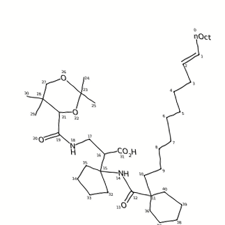 CCCCCCCC/C=C/CCCCCCCCC1(C(=O)NC2(C(CNC(=O)C3OC(C)(C)OCC3(C)C)C(=O)O)CCCC2)CCCCC1